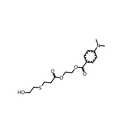 CN(C)c1ccc(C(=O)OCCOC(=O)CCSCCO)cc1